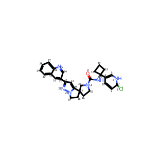 O=C(NC1(C2=CNC(Cl)C=C2)CCC1)N1CCC2(CCn3nc(-c4cnc5ccccc5c4)cc32)C1